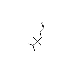 CC(C)C(C)(C)CC[C]=O